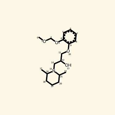 COCOc1ccccc1OCC(O)CN1C(C)CCCC1C